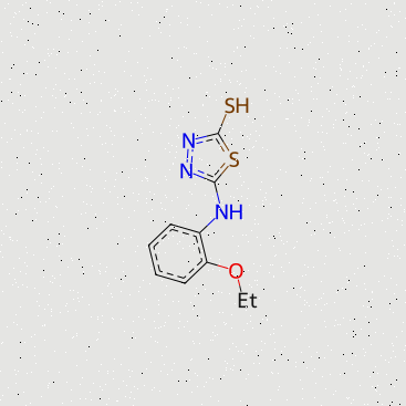 CCOc1ccccc1Nc1nnc(S)s1